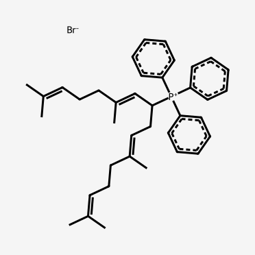 CC(C)=CCC/C(C)=C/CC(/C=C(\C)CCC=C(C)C)[P+](c1ccccc1)(c1ccccc1)c1ccccc1.[Br-]